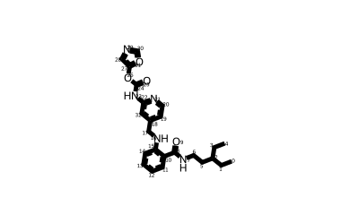 CCC(CC)CCNC(=O)c1ccccc1NCc1ccnc(NC(=O)Oc2cnco2)c1